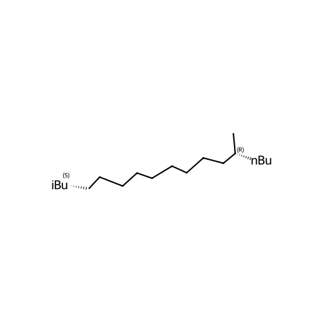 CCCC[C@@H](C)CCCCCCCCC[C@@H](C)CC